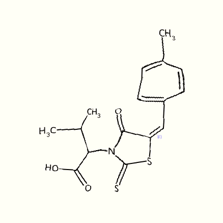 Cc1ccc(/C=C2/SC(=S)N(C(C(=O)O)C(C)C)C2=O)cc1